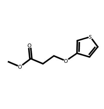 COC(=O)CCOc1ccsc1